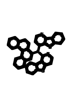 c1ccc2c(c1)ccc1c(N(c3ccnc4c3oc3ccccc34)c3nccc4oc5ccccc5c34)cc3ccccc3c12